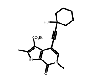 CCOC(=O)c1c(C)[nH]c2c(=O)n(C)cc(C#CC3(O)CCCCC3)c12